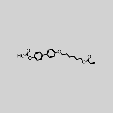 C=CC(=O)OCCCCCCOc1ccc(-c2ccc(OC(=O)O)cc2)cc1